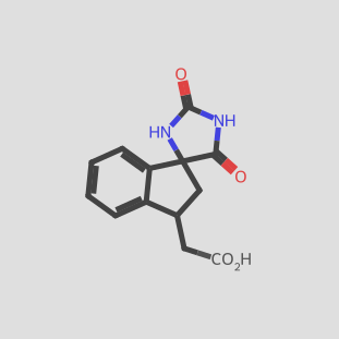 O=C(O)CC1CC2(NC(=O)NC2=O)c2ccccc21